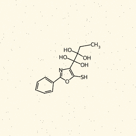 CCC(O)(O)C(O)(O)c1nc(-c2ccccc2)oc1S